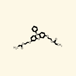 C=CC(=O)OCCOc1ccc2c(c1)Oc1cc(OCCOC(=O)C=C)ccc1N2c1ccccc1